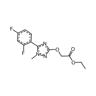 CCOC(=O)COc1nc(-c2ccc(F)cc2F)n(C)n1